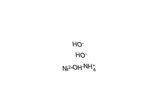 [NH4+].[Ni+2].[OH-].[OH-].[OH-]